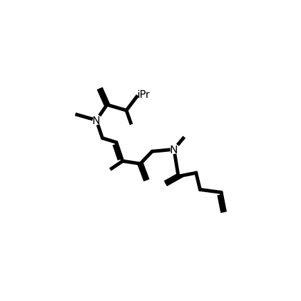 C=CCCC(=C)N(C)CC(=C)/C(C)=C/CN(C)C(=C)C(C)C(C)C